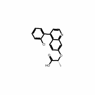 C[C@@H](Oc1ccc2c(-c3ccccc3Cl)ccnc2c1)C(=O)O